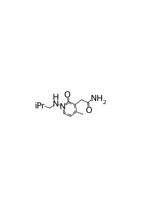 Cc1ccn(NCC(C)C)c(=O)c1CC(N)=O